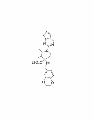 CCOC(=O)C1(NCc2ccc3c(c2)OCCO3)CCN(c2ncc3ccsc3n2)C(C)C1C